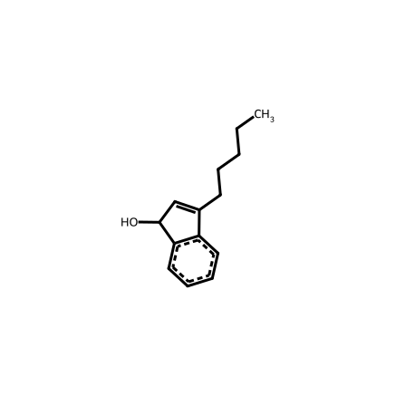 CCCCCC1=CC(O)c2ccccc21